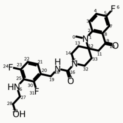 CN1c2ccc(F)cc2C(=O)CC12CCN(C(=O)NCc1ccc(F)c(NCCO)c1F)CC2